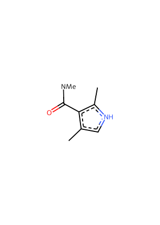 CNC(=O)c1c(C)c[nH]c1C